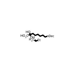 C=CCC.CCCCCCCCCCCCCCCCC(O)(O)C(=O)O